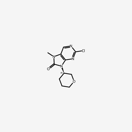 Cn1c(=O)n([C@@H]2CCCOC2)c2nc(Cl)ncc21